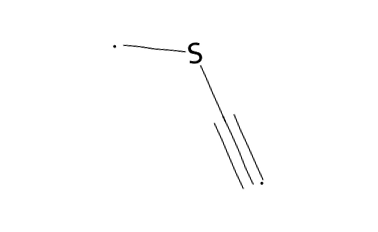 [C]#CS[CH2]